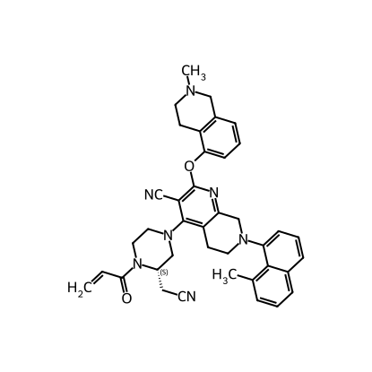 C=CC(=O)N1CCN(c2c(C#N)c(Oc3cccc4c3CCN(C)C4)nc3c2CCN(c2cccc4cccc(C)c24)C3)C[C@@H]1CC#N